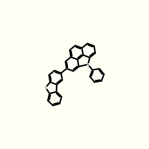 c1ccc(-n2c3cccc4ccc5cc(-c6ccc7sc8ccccc8c7c6)cc2c5c43)cc1